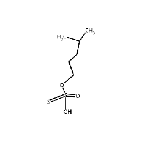 CC(C)CCCOS(=O)(O)=S